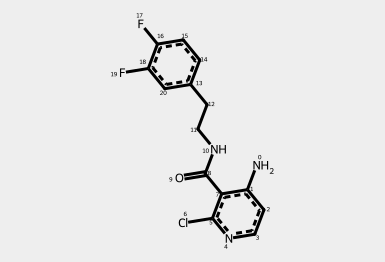 Nc1ccnc(Cl)c1C(=O)NCCc1ccc(F)c(F)c1